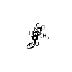 COc1cc(C(=O)N2CCOCC2)ccc1Nc1ncc(Cl)c(Cl)n1